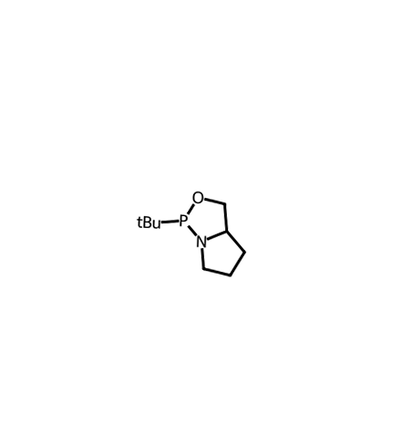 CC(C)(C)P1OCC2CCCN21